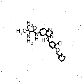 CC(C)C(N)C(=O)Nc1ccc2ncnc(Nc3ccc(OCc4ccccn4)c(Cl)c3)c2c1